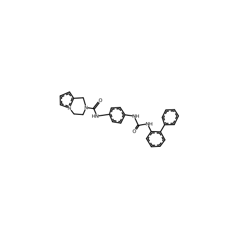 O=C(Nc1ccc(NC(=O)N2CCn3cccc3C2)cc1)Nc1ccccc1-c1ccccc1